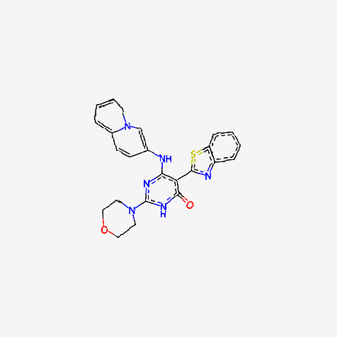 O=c1[nH]c(N2CCOCC2)nc(NC2=CN3CC=CC=C3C=C2)c1-c1nc2ccccc2s1